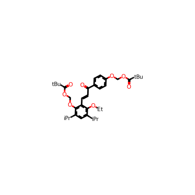 CCOc1c(C(C)C)cc(C(C)C)c(OCOC(=O)C(C)(C)C)c1/C=C/C(=O)c1ccc(OCOC(=O)C(C)(C)C)cc1